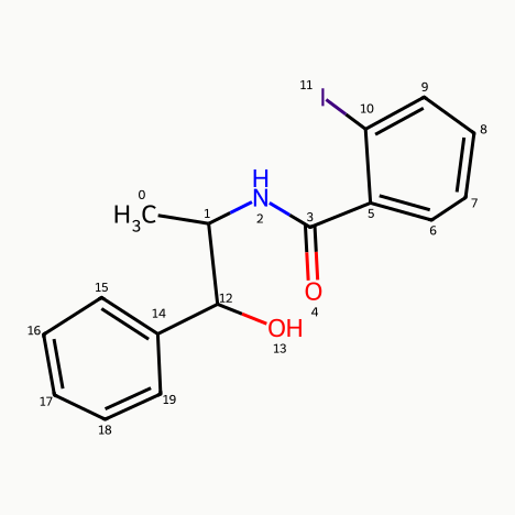 CC(NC(=O)c1ccccc1I)C(O)c1ccccc1